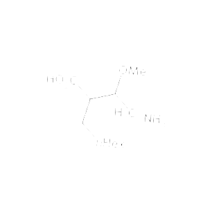 CCCCCCCC(C(=O)O)C(C)OC.N